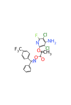 C[C@@H](Oc1nc(F)c(Cl)c(N)c1Cl)C(=O)O/N=C(/c1ccccc1)c1ccc(C(F)(F)F)cc1